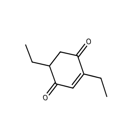 CCC1=CC(=O)C(CC)CC1=O